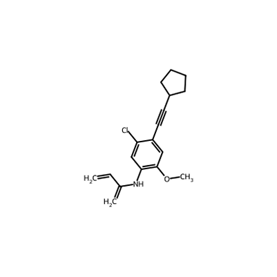 C=CC(=C)Nc1cc(Cl)c(C#CC2CCCC2)cc1OC